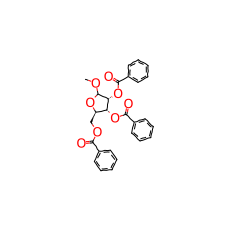 COC1O[C@H](COC(=O)c2ccccc2)[C@@H](OC(=O)c2ccccc2)[C@H]1OC(=O)c1ccccc1